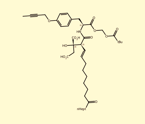 CC#CCOc1ccc(C[C@H](NC(=O)[C@@H](C=CCCCCCCC(=O)CCCCCCC)[C@@](O)(CC(=O)O)C(=O)O)C(=O)OCOC(=O)C(C)(C)C)cc1